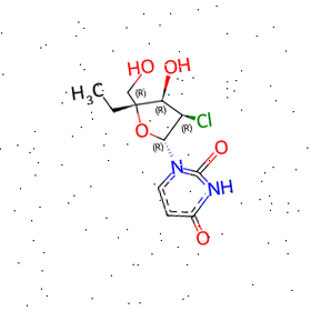 CC[C@]1(CO)O[C@@H](n2ccc(=O)[nH]c2=O)[C@H](Cl)[C@@H]1O